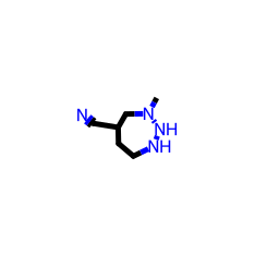 CN1CC(C#N)CCNN1